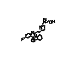 CCN(CCO)Cc1cccc(C=Cc2nc3ccc(F)cc3c(=O)n2-c2ccccc2Cl)n1